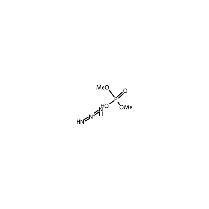 COP(=O)(O)OC.N=[N+]=N